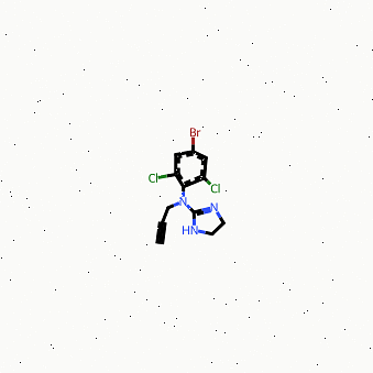 C#CCN(C1=NCCN1)c1c(Cl)cc(Br)cc1Cl